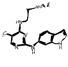 CC(=O)NCCNc1nc(Nc2ccc3cn[nH]c3c2)ncc1C(F)(F)F